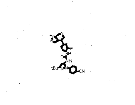 Cn1ncc2c(-c3ccc(NC(=O)Nc4cc(C(C)(C)C)nn4-c4ccc(C#N)cc4)c(F)c3)cncc21